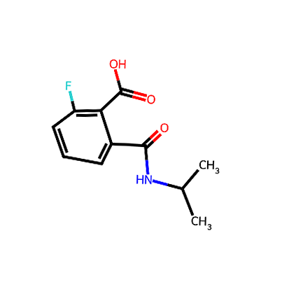 CC(C)NC(=O)c1cccc(F)c1C(=O)O